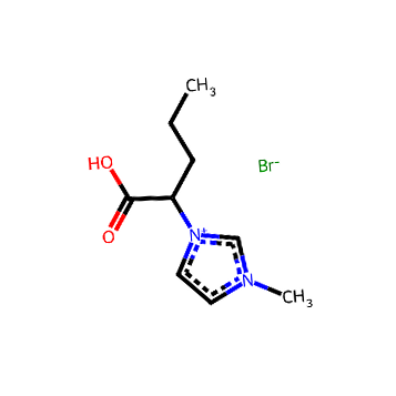 CCCC(C(=O)O)[n+]1ccn(C)c1.[Br-]